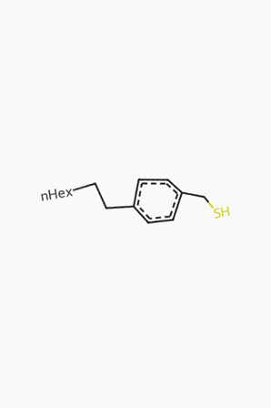 CCCCCCCCc1ccc(CS)cc1